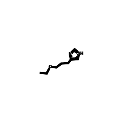 CCOCCCc1c[nH]cn1